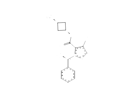 CO[C@H]1C[C@@H](OC(=O)c2c(F)cnn2[C@H](C)c2ccccc2)C1